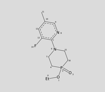 CCOP1(=O)CCN(c2ncc(C)cc2F)CC1